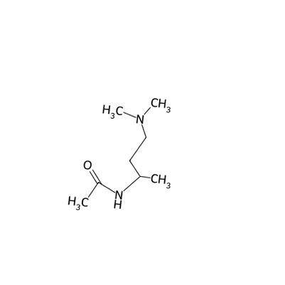 CC(=O)NC(C)CCN(C)C